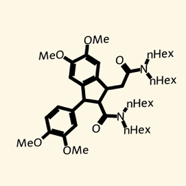 CCCCCCN(CCCCCC)C(=O)CC1c2cc(OC)c(OC)cc2C(c2ccc(OC)c(OC)c2)C1C(=O)N(CCCCCC)CCCCCC